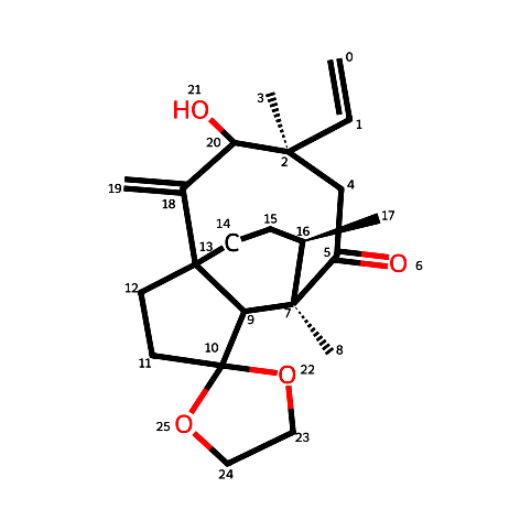 C=C[C@@]1(C)CC(=O)[C@@]2(C)C3C4(CCC3(CC[C@H]2C)C(=C)C1O)OCCO4